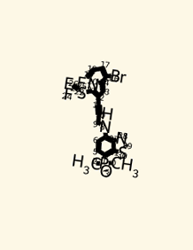 CP(C)(=O)c1ccc(NCC#Cc2cc3c(Br)cccn3c2SC(F)(F)F)c2ncsc12